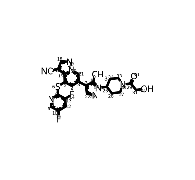 Cc1c(-c2cc(Sc3ncc(F)cc3F)c3c(C#N)cnn3c2)cnn1C1CCN(C(=O)CO)CC1